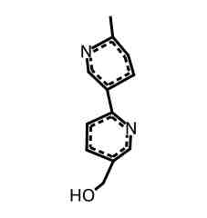 Cc1ccc(-c2ccc(CO)cn2)cn1